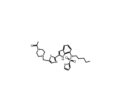 CCCCCN(c1cccc2cc(-c3ncc(CN4CCN(C(C)=O)CC4)s3)[nH]c12)S(=O)(=O)c1cccs1